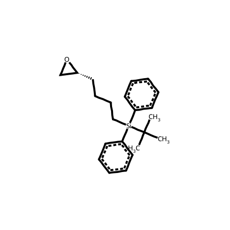 CC(C)(C)[Si](CCCC[C@@H]1CO1)(c1ccccc1)c1ccccc1